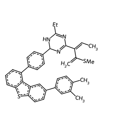 C=C(SC)/C(=C\C)C1=NC(c2ccc(-c3cccc4sc5ccc(-c6ccc(C)c(C)c6)cc5c34)cc2)NC(CC)=N1